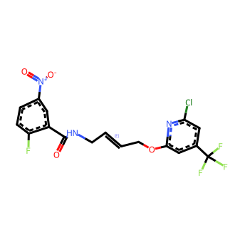 O=C(NC/C=C/COc1cc(C(F)(F)F)cc(Cl)n1)c1cc([N+](=O)[O-])ccc1F